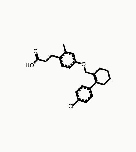 Cc1cc(OCC2=C(c3ccc(Cl)cc3)CCCC2)ccc1CCC(=O)O